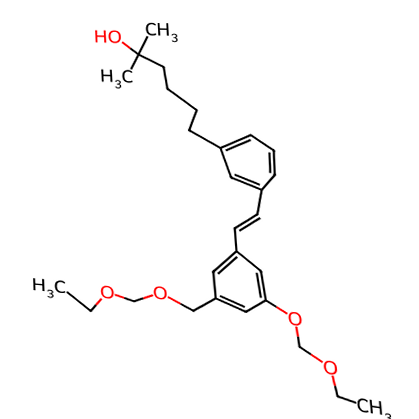 CCOCOCc1cc(C=Cc2cccc(CCCCC(C)(C)O)c2)cc(OCOCC)c1